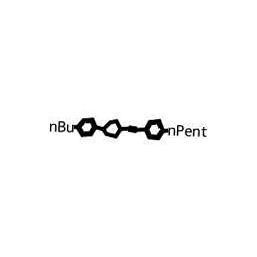 CCCCCc1ccc(C#CC2CCC(c3ccc(CCCC)cc3)CC2)cc1